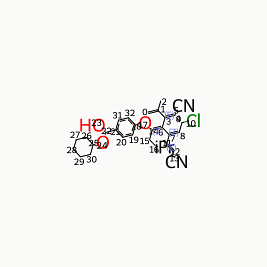 C=C(C)C(=C\C#N)/C(C(=C\CCl)/C=C/C#N)=C(/CC(C)C)Oc1ccc(C(O)OC2CCCCC2)cc1